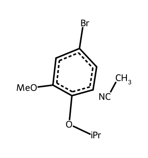 CC#N.COc1cc(Br)ccc1OC(C)C